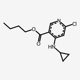 CCCCOC(=O)c1cnc(Cl)cc1NC1CC1